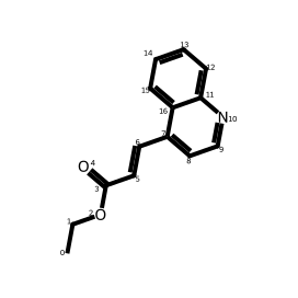 CCOC(=O)C=Cc1ccnc2ccccc12